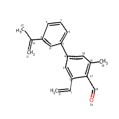 C=Cc1cc(-c2cccc(C(=C)C)c2)cc(C)c1C=O